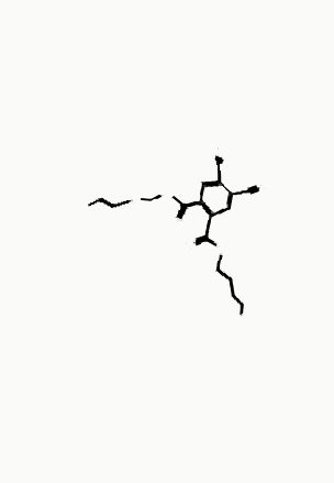 CCCCCOC(=O)c1cc(C#N)c(C#N)cc1C(=O)OCCCCC